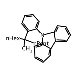 CCCCCCC(C)(CCCCC)c1ccccc1-n1c2ccccc2c2ccccc21